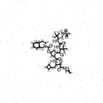 C=CCNC(=O)C(=O)C(CC1CCC1)NC(=O)C1CC(OC(=O)N2CCc3ccccc3C2)CN1C(=O)[C@@H](NC(=O)N[C@H](CN(C)S(C)(=O)=O)C(C)(C)C)C(C)(C)C